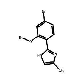 CCOc1cc(Br)ccc1-c1nc(C(F)(F)F)c[nH]1